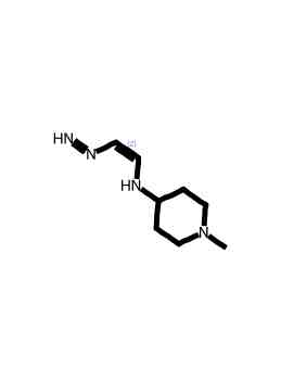 CN1CCC(N/C=C\N=N)CC1